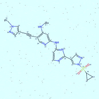 CCC(C)Nc1cc(Nc2ccnc(-c3cnn(S(=O)(=O)C4CC4)c3)n2)ncc1C#Cc1cnn(C(C)C)c1